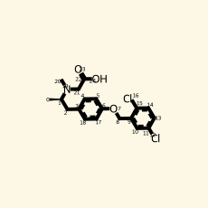 C[C@H](Cc1ccc(OCc2cc(Cl)ccc2Cl)cc1)N(C)CC(=O)O